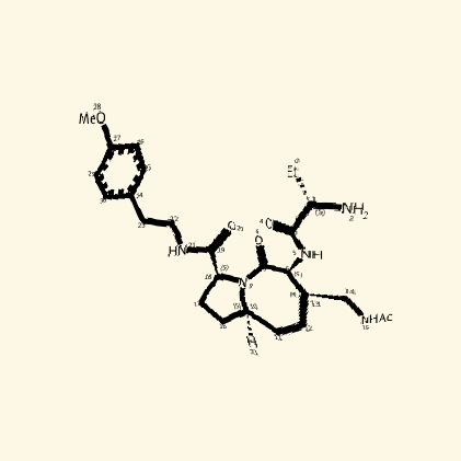 CC[C@H](N)C(=O)N[C@@H]1C(=O)N2[C@@H](CC[C@@H]1CNC(C)=O)CC[C@H]2C(=O)NCCc1ccc(OC)cc1